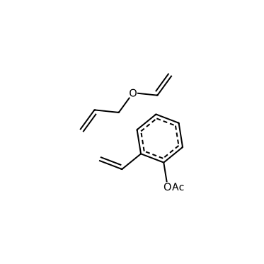 C=CCOC=C.C=Cc1ccccc1OC(C)=O